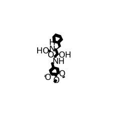 COc1cc(CNC[C@@H](O)[C@H](Cc2ccccc2)NC(=O)O)cc(OC)c1OC